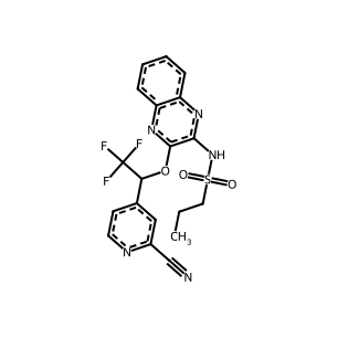 CCCS(=O)(=O)Nc1nc2ccccc2nc1OC(c1ccnc(C#N)c1)C(F)(F)F